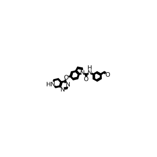 O=Cc1cccc(NC(=O)n2ccc3cc(Oc4ncnc5c4CCNC5)ccc32)c1